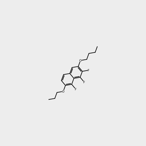 CCCCOc1cc2ccc(OCCC)c(F)c2c(F)c1F